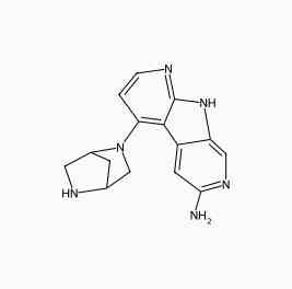 Nc1cc2c(cn1)[nH]c1nccc(N3CC4CC3CN4)c12